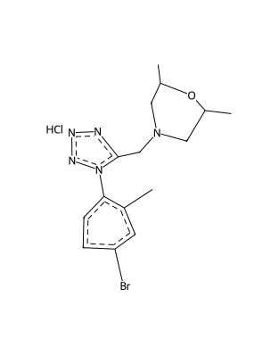 Cc1cc(Br)ccc1-n1nnnc1CN1CC(C)OC(C)C1.Cl